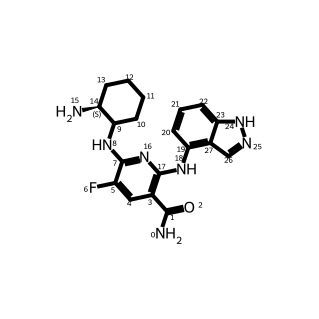 NC(=O)c1cc(F)c(NC2CCCC[C@@H]2N)nc1Nc1cccc2[nH]ncc12